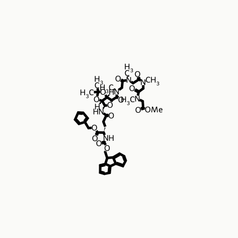 COC(=O)CN(C)C(=O)CN(C)C(=O)CN(C)C(=O)CN(C)C(=O)C1O[C@@H](NC(=O)CC[C@H](NC(=O)OCC2c3ccccc3-c3ccccc32)C(=O)OCc2ccccc2)[C@@H]2OC(C)(C)O[C@H]12